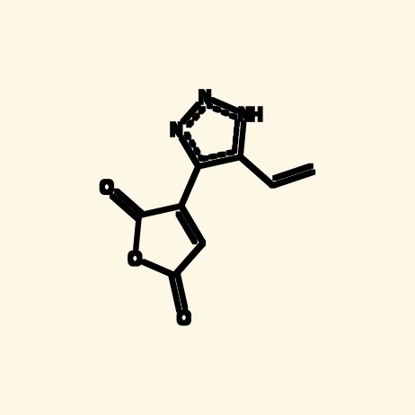 C=Cc1[nH]nnc1C1=CC(=O)OC1=O